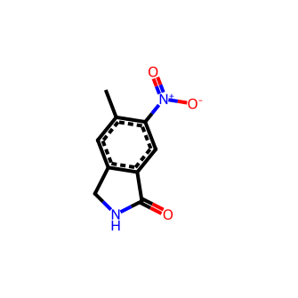 Cc1cc2c(cc1[N+](=O)[O-])C(=O)NC2